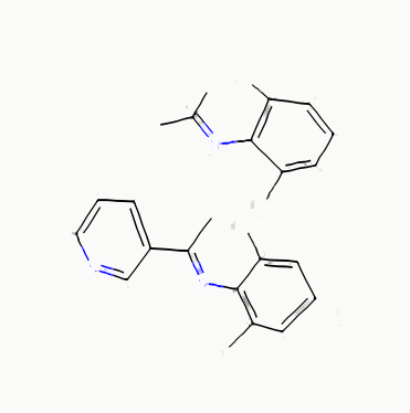 CC(=Nc1c(C(C)C)cccc1C(C)C)c1cccnc1.C[C]([Fe+2])=Nc1c(C(C)C)cccc1C(C)C.[Cl-].[Cl-]